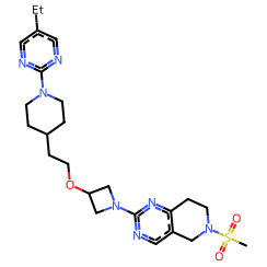 CCc1cnc(N2CCC(CCOC3CN(c4ncc5c(n4)CCN(S(C)(=O)=O)C5)C3)CC2)nc1